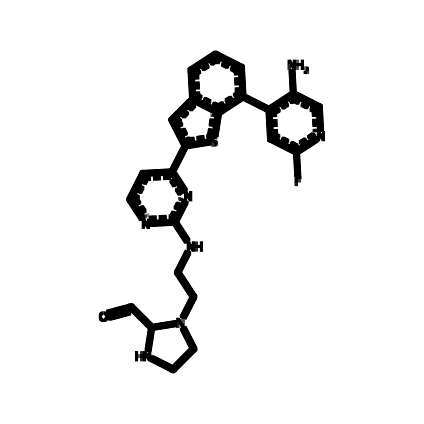 Nc1cnc(F)cc1-c1cccc2cc(-c3ccnc(NCCN4CCNC4C=O)n3)sc12